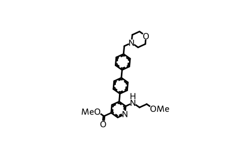 COCCNc1ncc(C(=O)OC)cc1-c1ccc(-c2ccc(CN3CCOCC3)cc2)cc1